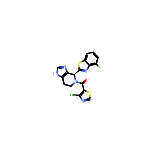 O=C(c1scnc1Cl)N1CCc2[nH]cnc2[C@H]1c1nc2c(F)cccc2s1